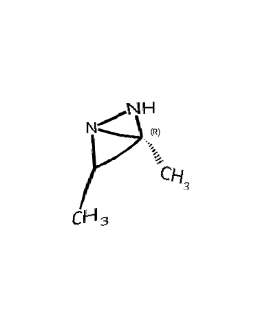 CC1N2N[C@@]12C